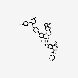 CC1(C)CCC(CN2CCN(c3ccc(C(=O)NS(=O)(=O)c4ccc(NC(C)(C)C5CCOCC5)c([N+](=O)[O-])c4)c(N4CCOc5nc6[nH]ccc6cc54)c3)CC2)=C(c2ccc(Cl)cc2)C1